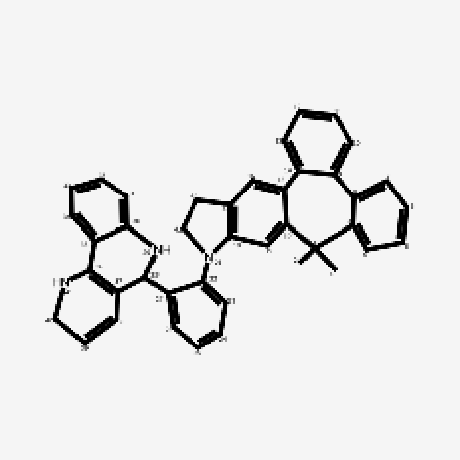 CC1(C)c2ccccc2-c2ccccc2-c2cc3c(cc21)N(c1ccccc1C1Nc2ccccc2C2=C1C=CCN2)CC3